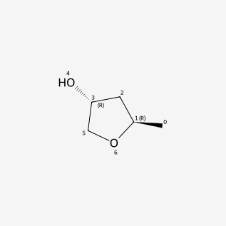 C[C@@H]1C[C@@H](O)CO1